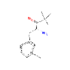 Cc1cccc(C[C@@H](N)C(=O)C(C)(C)C)c1